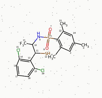 Cc1cc(C)c(S(=O)(=O)NC(C(S)c2c(Cl)cccc2Cl)C(F)(F)F)c(C)c1